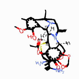 C=C(N)[C@]1(N)CS[C@@H]2c3c(OC(C)=O)c(C)c4c(c3[C@H](COC1=O)N1[C@@H]2[C@H]2c3c(cc(C)c(OC)c3O)C3(C)CC1(C)CN23)OCO4